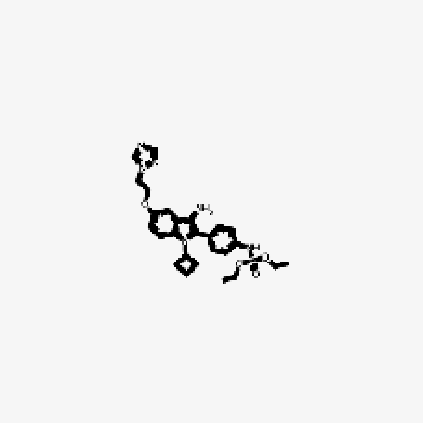 CCOP(=O)(Nc1ccc(-c2c(N)c3cc(OCCn4cncn4)ccc3n2C2CCC2)cc1)OCC